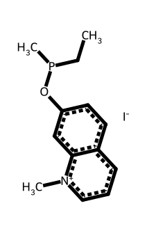 CCP(C)Oc1ccc2ccc[n+](C)c2c1.[I-]